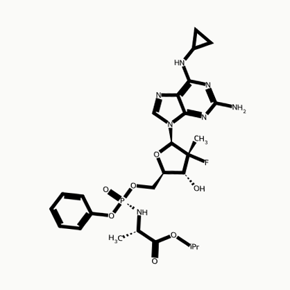 CC(C)OC(=O)[C@H](C)N[P@](=O)(OC[C@H]1O[C@@H](n2cnc3c(NC4CC4)nc(N)nc32)[C@](C)(F)[C@@H]1O)Oc1ccccc1